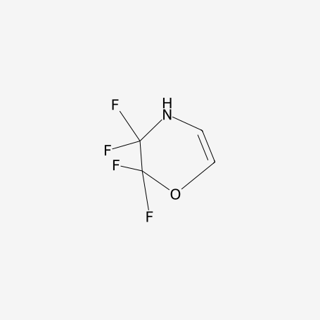 FC1(F)NC=COC1(F)F